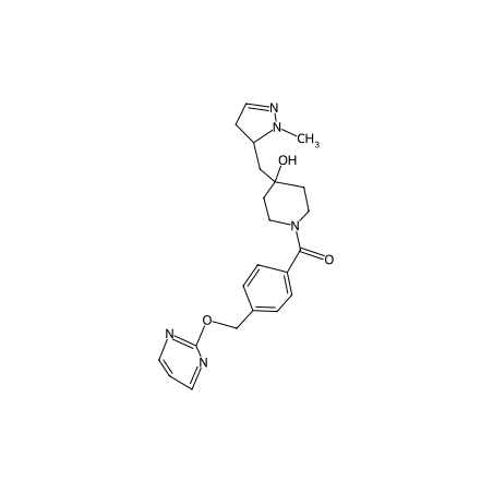 CN1N=CCC1CC1(O)CCN(C(=O)c2ccc(COc3ncccn3)cc2)CC1